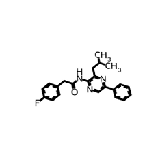 CC(C)Cc1nc(-c2ccccc2)cnc1NC(=O)Cc1ccc(F)cc1